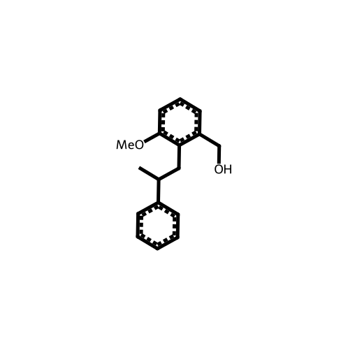 COc1cccc(CO)c1CC(C)c1ccccc1